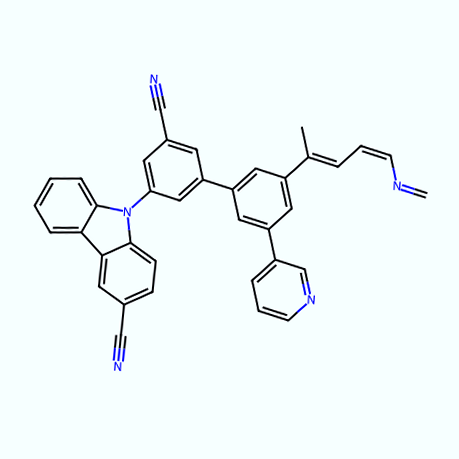 C=N/C=C\C=C(/C)c1cc(-c2cccnc2)cc(-c2cc(C#N)cc(-n3c4ccccc4c4cc(C#N)ccc43)c2)c1